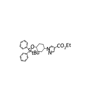 CCOC(=O)c1cnn(C2CCC(O[Si](c3ccccc3)(c3ccccc3)C(C)(C)C)CC2)c1